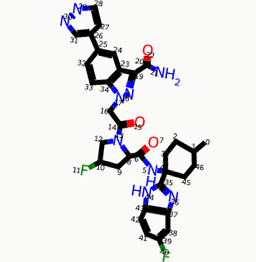 CC1CCC(NC(=O)C2CC(F)CN2C(=O)Cn2nc(C(N)=O)c3cc(-c4ccnnc4)ccc32)(c2nc3cc(F)ccc3[nH]2)CC1